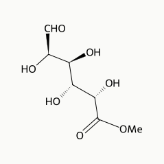 COC(=O)[C@@H](O)[C@H](O)[C@H](O)[C@@H](O)C=O